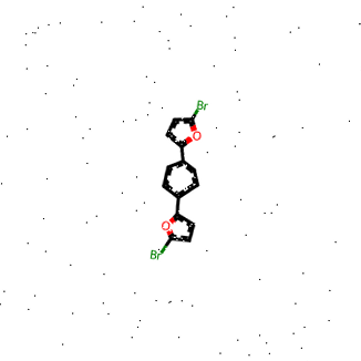 Brc1ccc(-c2ccc(-c3ccc(Br)o3)cc2)o1